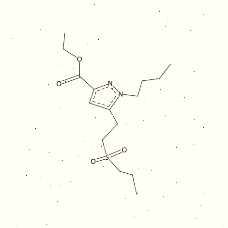 CCCCn1nc(C(=O)OCC)cc1CCS(=O)(=O)CCC